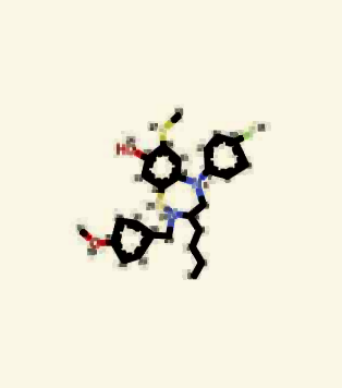 CCCCC1CN(c2ccc(F)cc2)c2cc(SC)c(O)cc2SN1Cc1ccc(OC)cc1